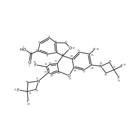 O=C(O)c1ccc2c(c1)C1(OC2)c2cc(F)c(N3CC(F)(F)C3)cc2Oc2cc(N3CC(F)(F)C3)c(F)cc21